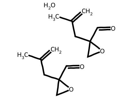 C=C(C)CC1(C=O)CO1.C=C(C)CC1(C=O)CO1.O